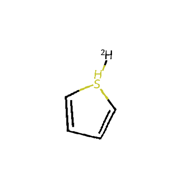 [2H][SH]1C=CC=C1